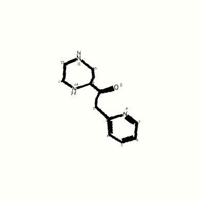 O=C(Cc1ccccn1)C1CNCCN1